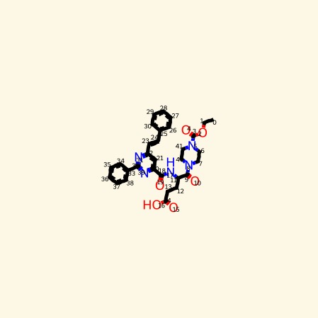 CCOC(=O)N1CCN(C(=O)C(CCC(=O)O)NC(=O)c2cc(C=Cc3ccccc3)nc(-c3ccccc3)n2)CC1